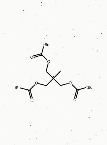 CC(COC(=O)C(C)(C)C)(COC(=O)C(C)(C)C)COC(=O)C(C)(C)C